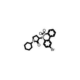 O=C1C(N2c3ccc(Br)cc3-c3ccccc3S2(=O)=O)CCN1C1CCCCC1